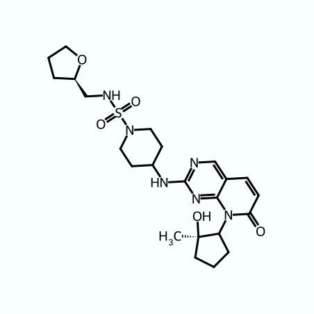 C[C@@]1(O)CCCC1n1c(=O)ccc2cnc(NC3CCN(S(=O)(=O)NC[C@H]4CCCO4)CC3)nc21